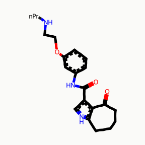 CCCNCCOc1cccc(NC(=O)c2c[nH]c3c2C(=O)CCCC3)c1